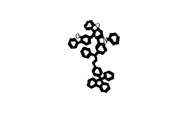 c1ccc(C(CCc2ccc(C3(c4ccccc4)c4ccccc4-c4ccccc43)cc2)c2ccc3c(c2)c2c(-c4ccc5c(c4)oc4ccccc45)c4c(cc2n3-c2ccccc2)oc2ccccc24)cc1